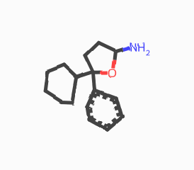 NC1CCC(c2ccccc2)(C2CCCCC2)O1